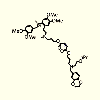 CCCOCCN(CCCOC(=O)/C=C\C(=O)OCCCN(C)CCc1cc(OC)c(OC)cc1[C@H](C)Cc1ccc(OC)c(OC)c1)Cc1ccc2c(c1)OCCO2